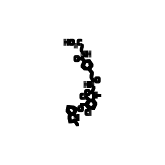 Cc1ccc2cccc(OCc3c(Cl)ccc(N(C)C(=O)CNC(=O)/C=C/c4ccc(C(=O)NCCC(=O)O)cc4)c3Cl)c2n1